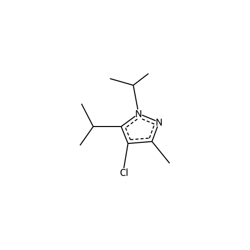 Cc1nn(C(C)C)c(C(C)C)c1Cl